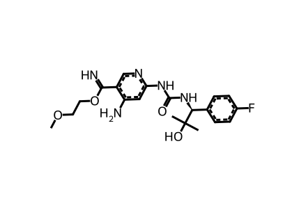 COCCOC(=N)c1cnc(NC(=O)N[C@@H](c2ccc(F)cc2)C(C)(C)O)cc1N